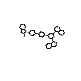 c1ccc2c(-c3cc(-c4ccc(-c5ccc(-c6[nH]cc7ccccc67)cc5)cc4)nc(-c4cccc5ccccc45)n3)cccc2c1